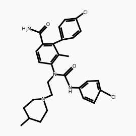 Cc1c(N(CCN2CCC(C)CC2)C(=O)Nc2ccc(Cl)cc2)ccc(C(N)=O)c1-c1ccc(Cl)cc1